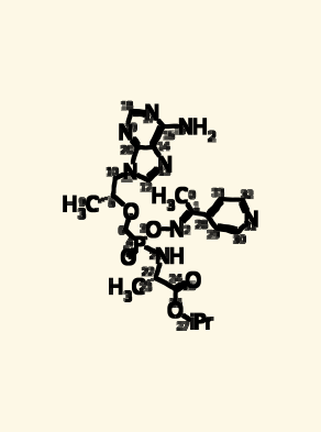 C/C(=N\OP(=O)(CO[C@H](C)Cn1cnc2c(N)ncnc21)N[C@@H](C)C(=O)OC(C)C)c1ccncc1